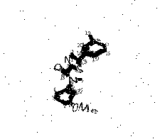 COc1cccc(N(C)C(=O)c2ncc(-c3cccc(C)c3)s2)c1